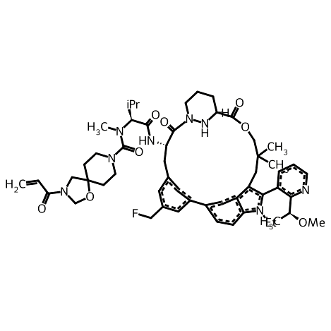 C=CC(=O)N1COC2(CCN(C(=O)N(C)[C@H](C(=O)N[C@H]3Cc4cc(CF)cc(c4)-c4ccc5c(c4)c(c(-c4cccnc4[C@H](C)OC)n5CC)CC(C)(C)COC(=O)[C@@H]4CCCN(N4)C3=O)C(C)C)CC2)C1